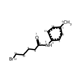 Cc1ccc(NC(=O)CCCCBr)cc1